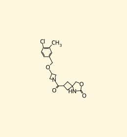 Cc1cc(COC2CN(C(=O)C3CC4(COC(=O)N4)C3)C2)ccc1Cl